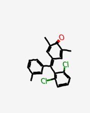 CC1=CC(=C(c2cccc(C)c2)c2c(Cl)cccc2Cl)C=C(C)C1=O